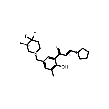 Cc1cc(CN2CCC(F)(F)[C@H](C)C2)cc(C(=O)/C=C/N2CCCC2)c1O